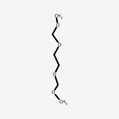 COCOCCOCOC